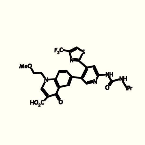 COCCn1cc(C(=O)O)c(=O)c2cc(-c3cnc(NC(=O)NC(C)C)cc3-c3nc(C(F)(F)F)cs3)ccc21